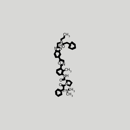 CCCN(Cc1nc2ccc(-c3cnc(-c4cccc(NC(=O)[C@@H]5CCCN5C(=O)[C@@H](c5ccccc5)N(C)C)c4C)o3)cc2[nH]1)C(=O)Cc1ccccc1